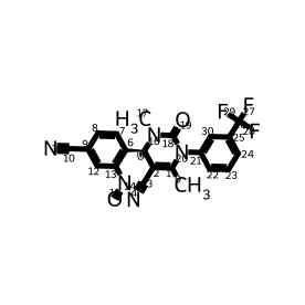 CC1=C(C#N)[C@@H](c2ccc(C#N)cc2N=O)N(C)C(=O)N1c1cccc(C(F)(F)F)c1